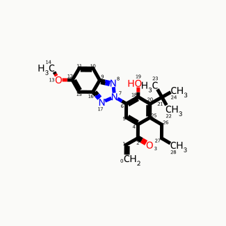 C=CC(=O)c1cc(-n2nc3ccc(OC)cc3n2)c(O)c(C(C)(C)C)c1CCC